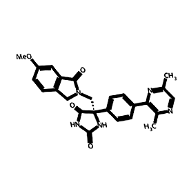 COc1ccc2c(c1)C(=O)N(C[C@]1(c3ccc(-c4nc(C)cnc4C)cc3)NC(=O)NC1=O)C2